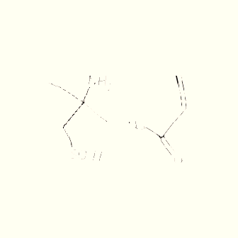 C=C[C](=O)[Na].CC(C)(N)CS(=O)(=O)O